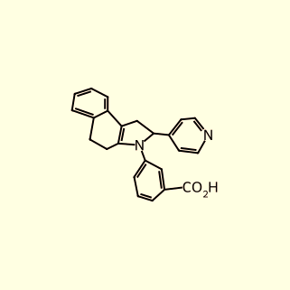 O=C(O)c1cccc(N2C3=C(CC2c2ccncc2)c2ccccc2CC3)c1